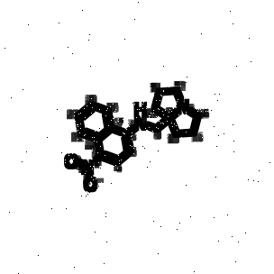 O=[N+]([O-])c1ccc(NCC23CCCN2CCC3)c2ccccc12